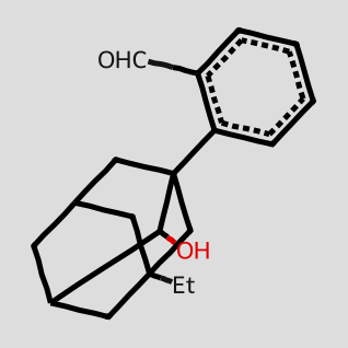 CCC12CC3CC(C1)C(O)C(c1ccccc1C=O)(C3)C2